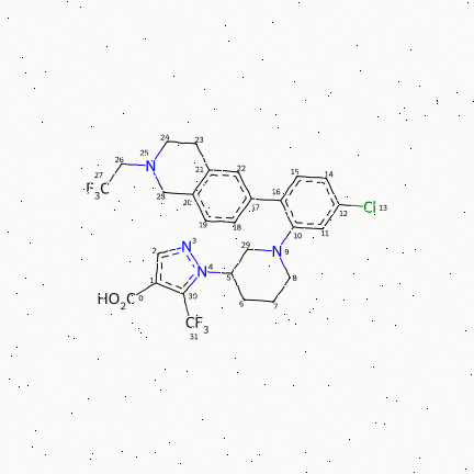 O=C(O)c1cnn(C2CCCN(c3cc(Cl)ccc3-c3ccc4c(c3)CCN(CC(F)(F)F)C4)C2)c1C(F)(F)F